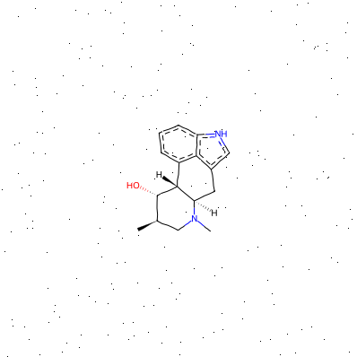 C[C@@H]1CN(C)[C@@H]2Cc3c[nH]c4cccc(c34)[C@H]2[C@H]1O